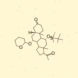 CC(=O)C1CCC2C3C([C@H](O[Si](C)(C)C(C)(C)C)CC12C)C1(C)CCC(=O)C[C@H]1C[C@H]3OC1CCCCO1